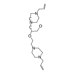 C=CCN1CCN(CCOC(C[O])CN2CCN(CC=C)CC2)CC1